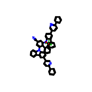 N#Cc1cc(-n2c3ccccc3c3cc(-c4ccc(-c5ccccc5)nc4)ccc32)c(-c2ccccc2C(F)(F)F)c(-n2c3ccccc3c3cc(-c4ccc(-c5ccccc5)nc4)ccc32)c1